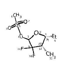 CC[C@H]1OC(OS(C)(=O)=O)C(F)(F)[C@H]1C